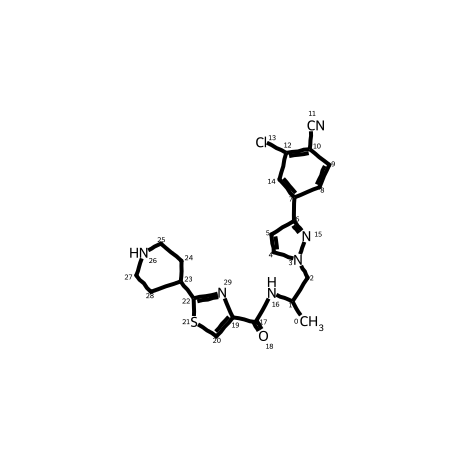 CC(Cn1ccc(-c2ccc(C#N)c(Cl)c2)n1)NC(=O)c1csc(C2CCNCC2)n1